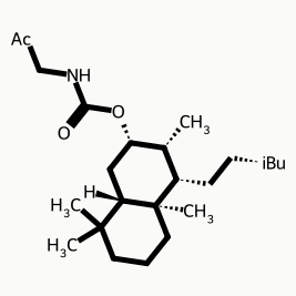 CC[C@@H](C)CC[C@H]1[C@@H](C)[C@@H](OC(=O)NCC(C)=O)C[C@H]2C(C)(C)CCC[C@]12C